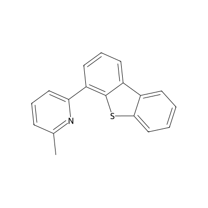 Cc1cccc(-c2cccc3c2sc2ccccc23)n1